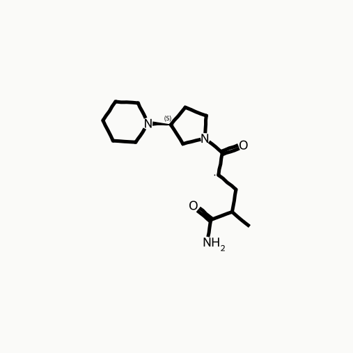 CC(C[CH]C(=O)N1CC[C@H](N2CCCCC2)C1)C(N)=O